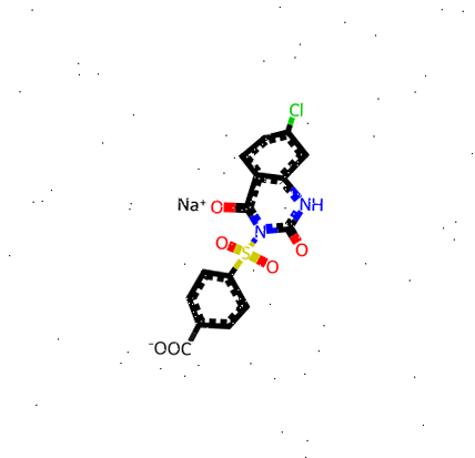 O=C([O-])c1ccc(S(=O)(=O)n2c(=O)[nH]c3cc(Cl)ccc3c2=O)cc1.[Na+]